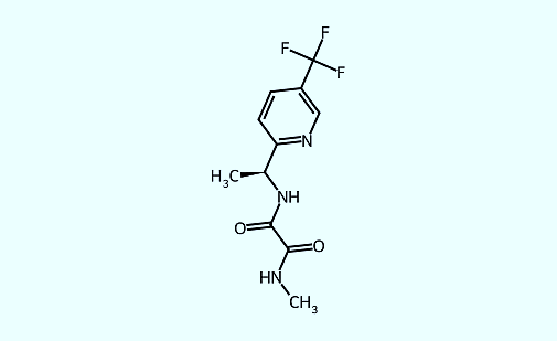 CNC(=O)C(=O)N[C@@H](C)c1ccc(C(F)(F)F)cn1